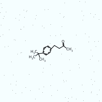 CC(=O)CCc1ccc(C(C)(C)C)cc1